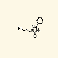 Cn1c(-c2ccccc2)nn(CCCBr)c1=O